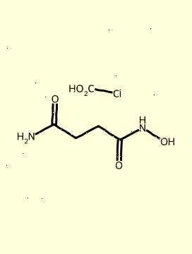 NC(=O)CCC(=O)NO.O=C(O)Cl